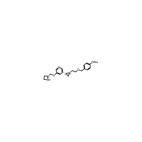 COc1ccc(COCC[C@H]2C[C@@H]2c2cncc(OC[C@@H]3CCN3)c2)cc1